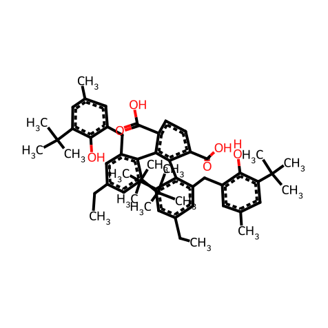 CCc1cc(Cc2cc(C)cc(C(C)(C)C)c2O)c(-c2c(C(=O)O)ccc(C(=O)O)c2-c2c(Cc3cc(C)cc(C(C)(C)C)c3O)cc(CC)cc2C(C)(C)C)c(C(C)(C)C)c1